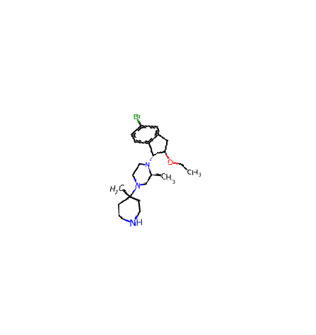 CCO[C@@H]1Cc2cc(Br)ccc2[C@H]1N1CCN(C2(C)CCNCC2)C[C@@H]1C